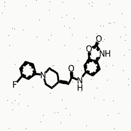 O=C(C=C1CCN(c2cccc(F)c2)CC1)Nc1ccc2[nH]c(=O)oc2c1